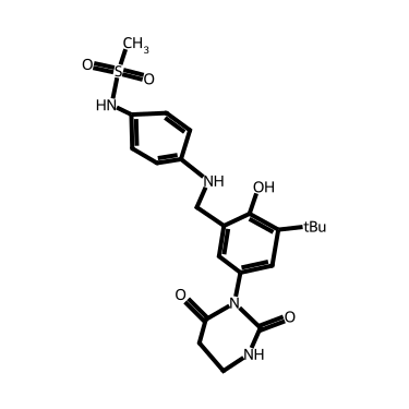 CC(C)(C)c1cc(N2C(=O)CCNC2=O)cc(CNc2ccc(NS(C)(=O)=O)cc2)c1O